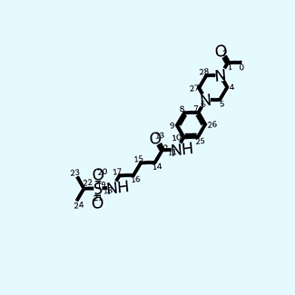 CC(=O)N1CCN(c2ccc(NC(=O)CCCCNS(=O)(=O)C(C)C)cc2)CC1